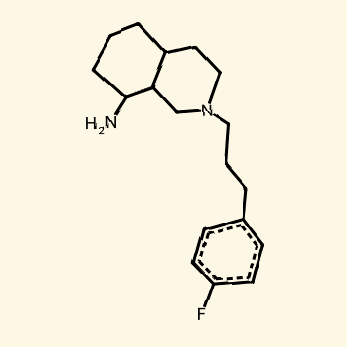 NC1CCCC2CCN(CCCc3ccc(F)cc3)CC12